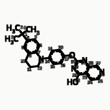 CC(C)(C)c1ccc2c(c1)CCCN2c1ccc(Oc2nc(O)c3ccncc3n2)cc1